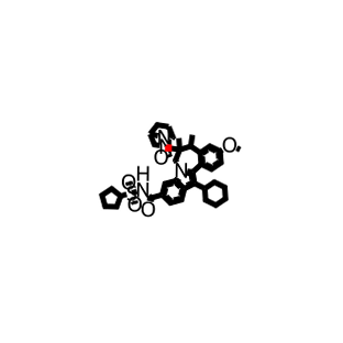 COc1ccc2c(c1)C(C)C(C)(C(=O)N1C3CC1CN(C)C3)Cn1c-2c(C2CCCCC2)c2ccc(C(=O)NS(=O)(=O)C3CCCC3)cc21